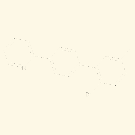 Cc1ccc(Br)c(-c2ccc(-c3ccccn3)cc2)c1